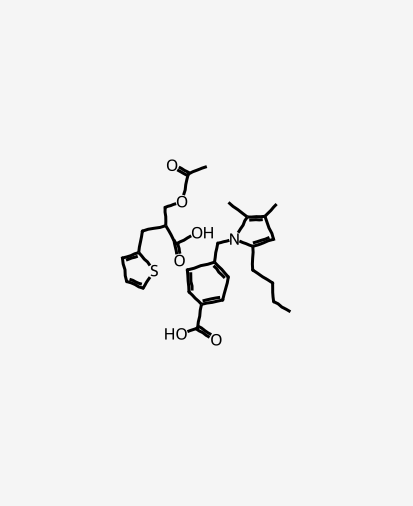 CC(=O)OCC(Cc1cccs1)C(=O)O.CCCCc1cc(C)c(C)n1Cc1ccc(C(=O)O)cc1